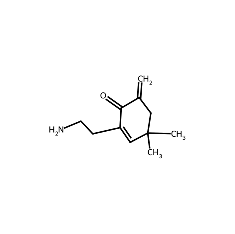 C=C1CC(C)(C)C=C(CCN)C1=O